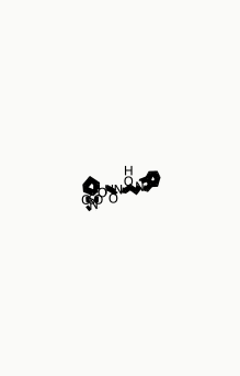 CN(C)S(=O)(=O)c1ccccc1OCC(=O)NC[C@H](O)CN1Cc2ccccc2C1